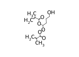 C=C(C)C(=O)OOC(CCCO)OC(=O)C(=C)C